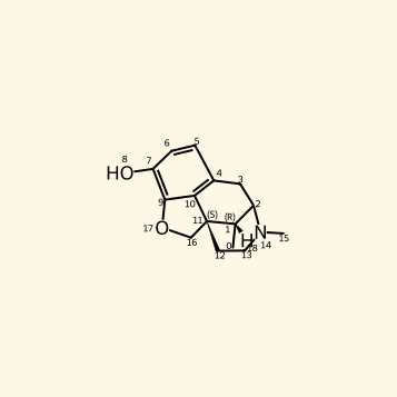 C[C@H]1C2Cc3ccc(O)c4c3[C@@]1(CCN2C)CO4